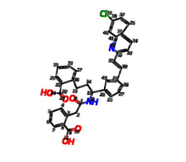 O=C(Cc1ccccc1C(=O)O)NC(CCc1ccccc1C(=O)O)c1cccc(/C=C/c2ccc3ccc(Cl)cc3n2)c1